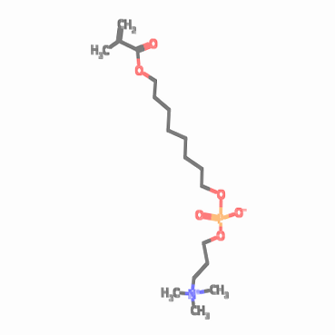 C=C(C)C(=O)OCCCCCCCCOP(=O)([O-])OCCC[N+](C)(C)C